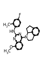 COc1cccc2c(N3CCc4cccc5c4C3CC5)nc(Nc3ccc(F)cc3C)nc12